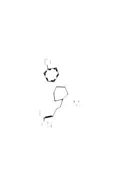 CCc1ccc([C@H]2CC[C@@](CCC=C(F)C#N)(OC)CC2)cc1